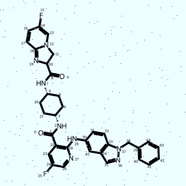 O=C(N[C@H]1CC[C@@H](NC(=O)C2CN3C=C(F)C=CC3=N2)CC1)c1cc(F)cnc1Nc1ccc2c(cnn2Cc2ccccc2)c1